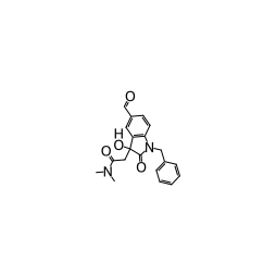 CN(C)C(=O)CC1(O)C(=O)N(Cc2ccccc2)c2ccc(C=O)cc21